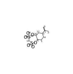 C=C(C)C1CCC2OS(=O)(=O)CS(=O)(=O)OC2C1